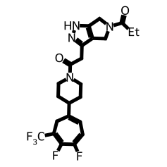 CCC(=O)N1Cc2[nH]nc(CC(=O)N3CCC(C4=CC=C(F)C(F)=C(C(F)(F)F)C4)CC3)c2C1